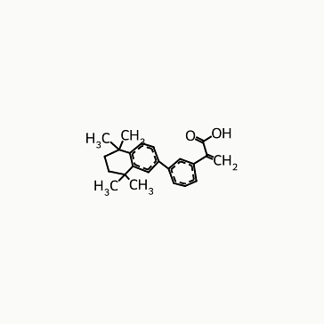 C=C(C(=O)O)c1cccc(-c2ccc3c(c2)C(C)(C)CCC3(C)C)c1